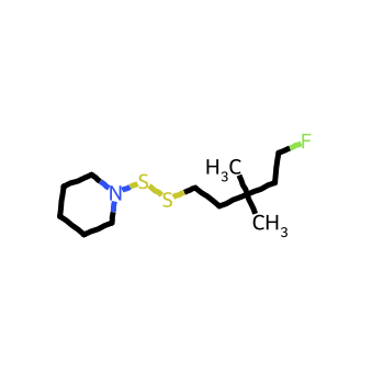 CC(C)(CCF)CCSSN1CCCCC1